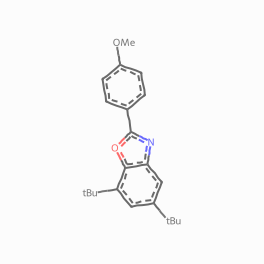 COc1ccc(-c2nc3cc(C(C)(C)C)cc(C(C)(C)C)c3o2)cc1